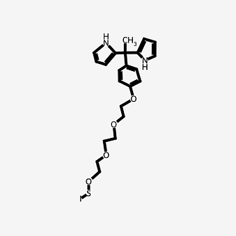 CC(c1ccc(OCCOCCOCCOSI)cc1)(c1ccc[nH]1)c1ccc[nH]1